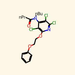 CCCCN(C(=O)CCC)c1c(Cl)c(Cl)nc(OCCOc2ccccc2)c1Cl